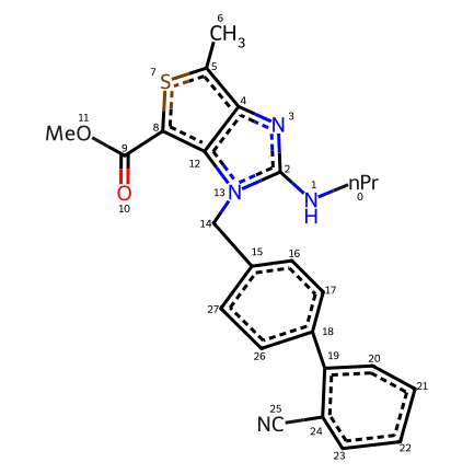 CCCNc1nc2c(C)sc(C(=O)OC)c2n1Cc1ccc(-c2ccccc2C#N)cc1